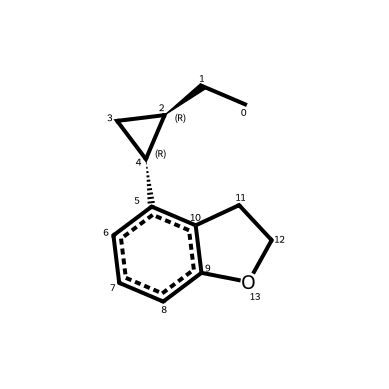 CC[C@@H]1C[C@H]1c1cccc2c1CCO2